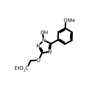 CCOC(=O)COc1nc(-c2cccc(OC)c2)n(O)n1